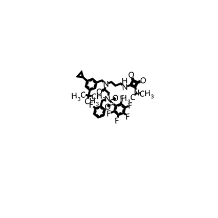 CN(C)c1c(NCCCN(Cc2cc(C3CC3)cc(C(C)(C)C)c2)C(=O)CN(Cc2ccccc2F)S(=O)(=O)c2c(F)c(F)c(F)c(F)c2F)c(=O)c1=O